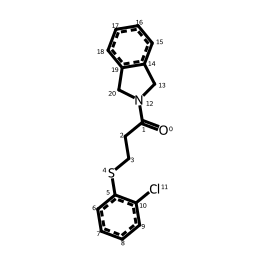 O=C(CCSc1ccccc1Cl)N1Cc2ccccc2C1